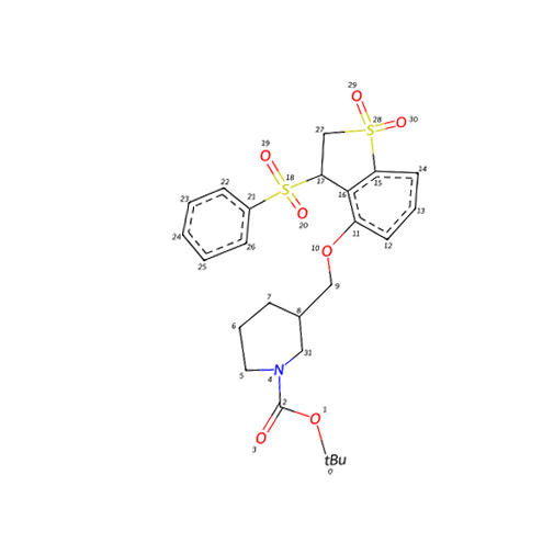 CC(C)(C)OC(=O)N1CCCC(COc2cccc3c2C(S(=O)(=O)c2ccccc2)CS3(=O)=O)C1